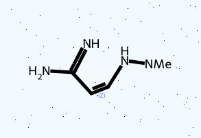 CNN/C=C\C(=N)N